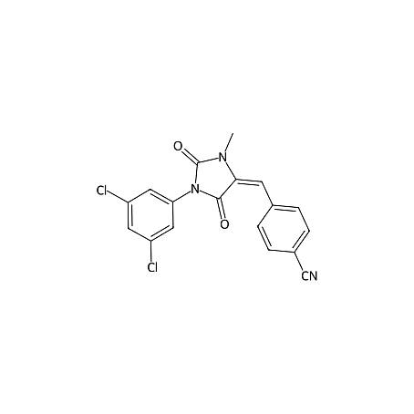 CN1C(=O)N(c2cc(Cl)cc(Cl)c2)C(=O)/C1=C\c1ccc(C#N)cc1